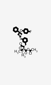 CC(Cl)OC(=O)N1[C@@H](Cc2cccc(SN3CC(Oc4ccc(F)cc4)(c4ccccc4)C3)c2)C(=O)OC1(C)C